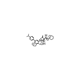 C=C(CNc1cc(-c2ccc(C(C)C)cc2)c2c(c1CO)CCO2)C(=O)NOC1CCCCO1